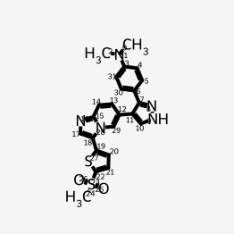 CN(C)c1ccc(-c2n[nH]cc2-c2ccc3ncc(-c4ccc(S(C)(=O)=O)s4)n3c2)cc1